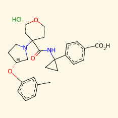 Cc1cccc(O[C@@H]2CCN(C3(C(=O)NC4(c5ccc(C(=O)O)cc5)CC4)CCOCC3)C2)c1.Cl